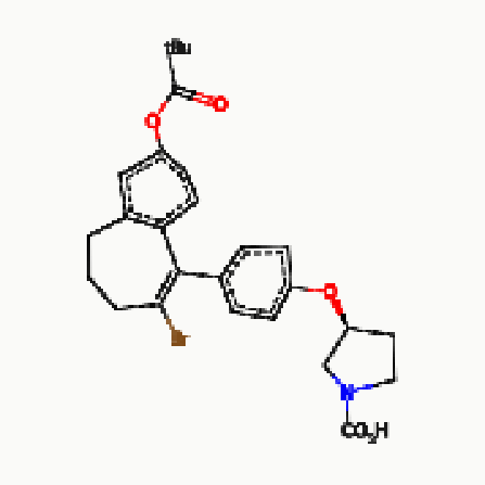 CC(C)(C)C(=O)Oc1ccc2c(c1)CCCC(Br)=C2c1ccc(O[C@H]2CCN(C(=O)O)C2)cc1